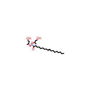 CCCCCCCCC=CCCCCCCCC(=O)N(OC(C)CCO)OC(C)CCO